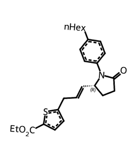 CCCCCCc1ccc(N2C(=O)CC[C@@H]2C=CCc2ccc(C(=O)OCC)s2)cc1